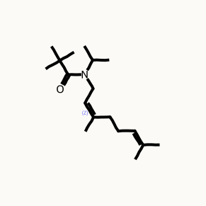 CC(C)=CCC/C(C)=C\CN(C(=O)C(C)(C)C)C(C)C